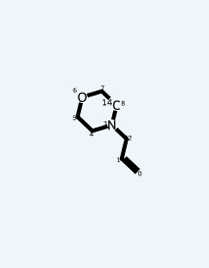 C=C[CH]N1CCOC[14CH2]1